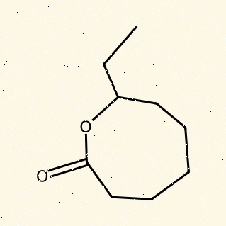 CCC1CCCCCC(=O)O1